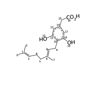 CC(C)=CCC/C(C)=C/Cc1c(O)cc(CC(=O)O)cc1O